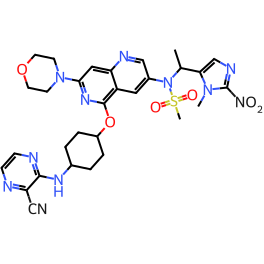 CC(c1cnc([N+](=O)[O-])n1C)N(c1cnc2cc(N3CCOCC3)nc(OC3CCC(Nc4nccnc4C#N)CC3)c2c1)S(C)(=O)=O